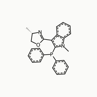 C[C@H]1COC(c2c(P(c3ccccc3)c3ccccc3)n(C)c3ccccc23)=N1